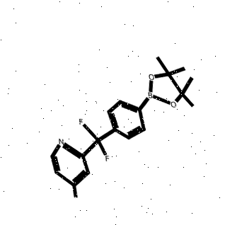 Cc1ccnc(C(F)(F)c2ccc(B3OC(C)(C)C(C)(C)O3)cc2)c1